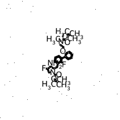 CN(CCOc1ccccc1-c1cccc(CC2C(N)C(F)CN2C(=O)OC(C)(C)C)c1F)C(=O)OC(C)(C)C